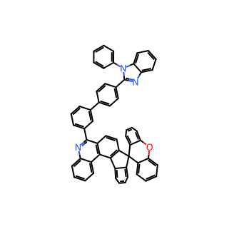 c1ccc(-n2c(-c3ccc(-c4cccc(-c5nc6ccccc6c6c7c(ccc56)C5(c6ccccc6Oc6ccccc65)c5ccccc5-7)c4)cc3)nc3ccccc32)cc1